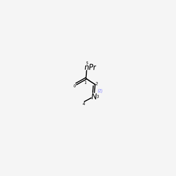 C=C(/C=N\C)CCC